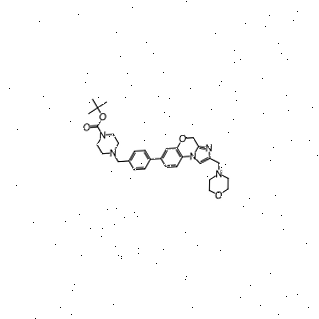 CC(C)(C)OC(=O)N1CCN(Cc2ccc(-c3ccc4c(c3)OCc3nc(CN5CCOCC5)cn3-4)cc2)CC1